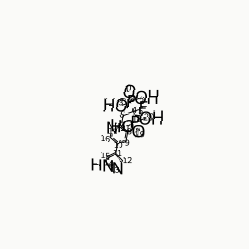 O=P(O)(O)C(F)(Cc1ccc(-c2cn[nH]c2)cn1)P(=O)(O)O